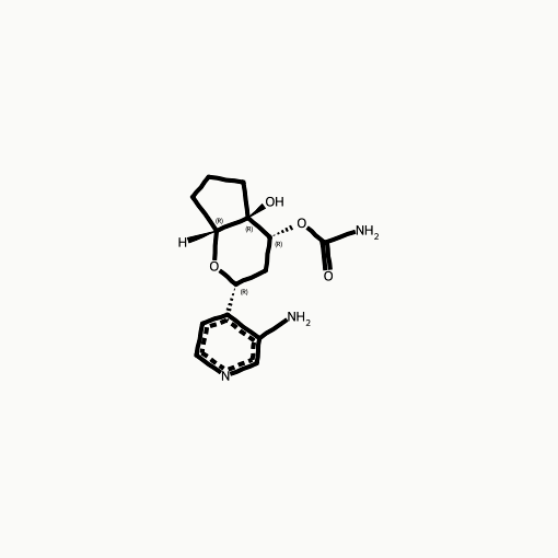 NC(=O)O[C@@H]1C[C@H](c2ccncc2N)O[C@@H]2CCC[C@]12O